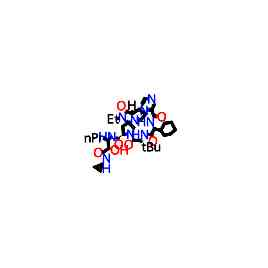 CCCC(NC(=O)[C@@H]1CC2(CN1C(=O)C(NC(=O)[C@@H](NC(=O)c1cnccn1)C1CCCCC1)C(C)(C)C)N(CC)C(=O)[C@@H]1CCCN12)C(O)C(=O)NC1CC1